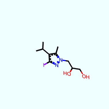 Cc1c(C(C)C)c(I)nn1CC(O)CO